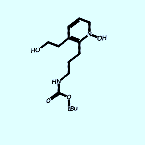 CC(C)(C)OC(=O)NCCCC1=C(CCO)C=CCN1O